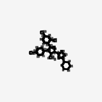 CC1C(c2nnc(C3CCCCC3)s2)N=C(c2ccc(Cl)cc2Cl)N1c1ccc(Cl)cc1